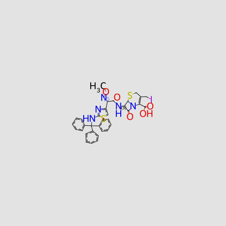 CO/N=C(\C(=O)N[C@H]1C(=O)N2C(C(=O)O)=C(CI)CSC12)c1csc(NC(c2ccccc2)(c2ccccc2)c2ccccc2)n1